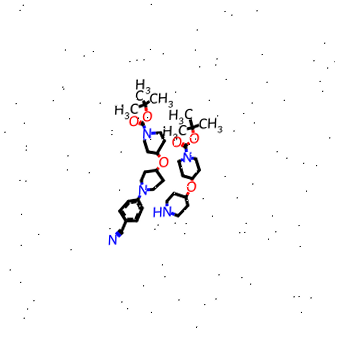 CC(C)(C)OC(=O)N1CCC(OC2CCN(c3ccc(C#N)cc3)CC2)CC1.CC(C)(C)OC(=O)N1CCC(OC2CCNCC2)CC1